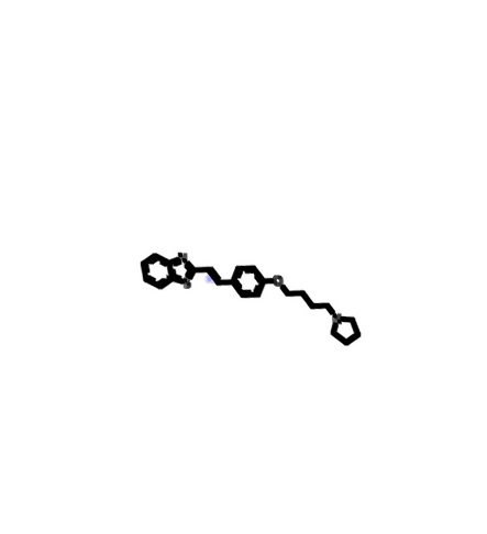 C(=C\c1nc2ccccc2s1)/c1ccc(OCCCCN2CCCC2)cc1